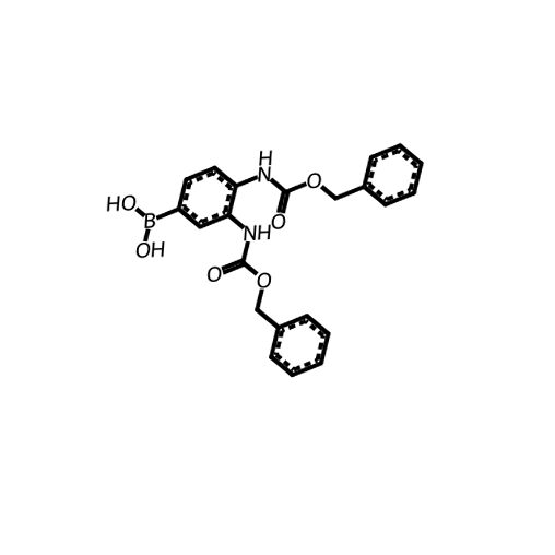 O=C(Nc1ccc(B(O)O)cc1NC(=O)OCc1ccccc1)OCc1ccccc1